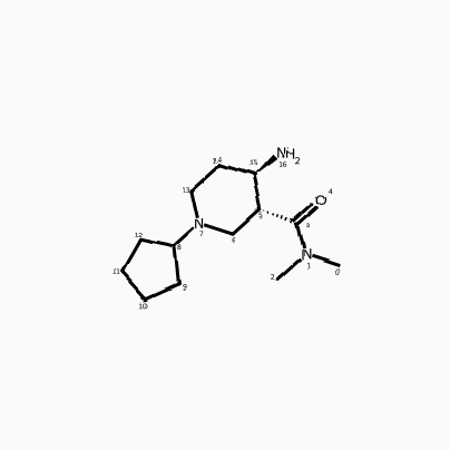 CN(C)C(=O)[C@@H]1CN(C2CCCC2)CC[C@H]1N